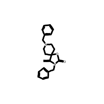 C=C1N(Cc2ccccc2)C(=O)OC12CCN(Cc1ccccc1)CC2